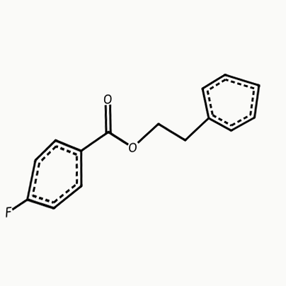 O=C(OCCc1ccccc1)c1ccc(F)cc1